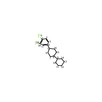 Fc1ccc(C2CCC(C3CCCCC3)CC2)cc1F